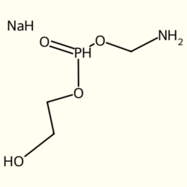 NCO[PH](=O)OCCO.[NaH]